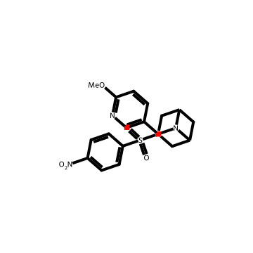 COc1ccc(CN2C3CC2CN(S(=O)(=O)c2ccc([N+](=O)[O-])cc2)C3)cn1